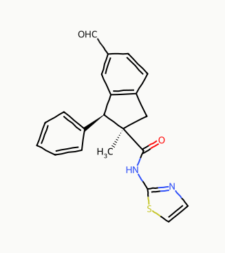 C[C@@]1(C(=O)Nc2nccs2)Cc2ccc(C=O)cc2[C@@H]1c1ccccc1